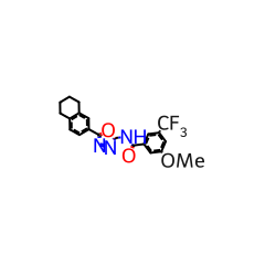 COc1cc(C(=O)Nc2nnc(-c3ccc4c(c3)CCCC4)o2)cc(C(F)(F)F)c1